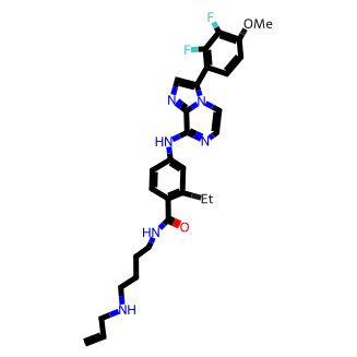 C=CCNCCCCNC(=O)c1ccc(Nc2nccn3c(-c4ccc(OC)c(F)c4F)cnc23)cc1CC